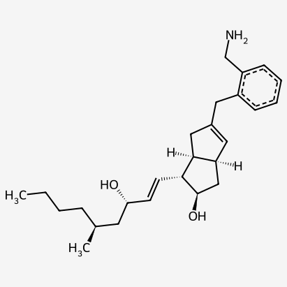 CCCC[C@H](C)C[C@H](O)/C=C/[C@@H]1[C@H]2CC(Cc3ccccc3CN)=C[C@H]2C[C@H]1O